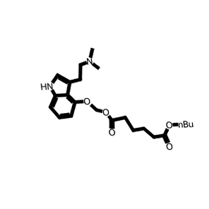 CCCCOC(=O)CCCCC(=O)OCOc1cccc2[nH]cc(CCN(C)C)c12